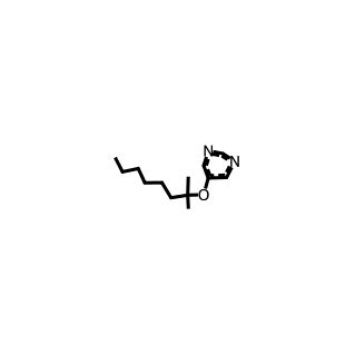 CCCCCCC(C)(C)Oc1cncnc1